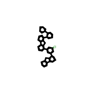 Clc1cc(-c2cccc3c2Cc2ccccc2-3)cc(-c2cccc3c2Cc2c(-c4ccccc4-c4ccccc4)cccc2-3)c1